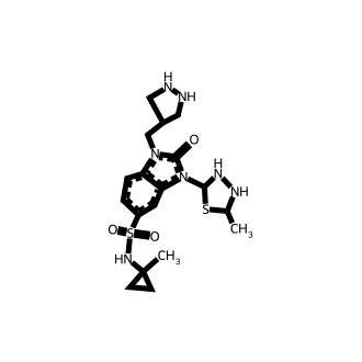 CC1NNC(n2c(=O)n(CC3CNNC3)c3ccc(S(=O)(=O)NC4(C)CC4)cc32)S1